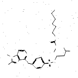 CCCCCCNC(=O)OC[C@H](CC(C)C)NS(=O)(=O)c1ccc(Cc2nccc3c2nc(C)n3C)cc1